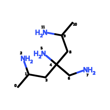 CC(N)CC(N)(CN)CC(C)N